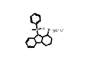 CC[Si](C)(c1ccccc1)C1C2C=CC=CC2C2CCC[CH]([Ti+3])C21.[Cl-].[Cl-].[Cl-]